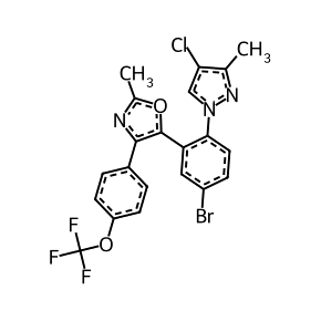 Cc1nc(-c2ccc(OC(F)(F)F)cc2)c(-c2cc(Br)ccc2-n2cc(Cl)c(C)n2)o1